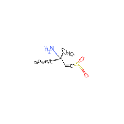 CCCCCC(N)([C]=O)C=C=S(=O)=O